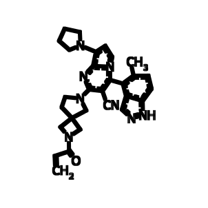 C=CC(=O)N1CC2(CCN(c3nc4c(N5CCCC5)ccn4c(-c4c(C)ccc5[nH]ncc45)c3C#N)C2)C1